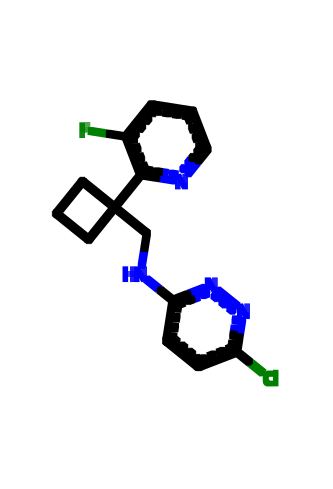 Fc1cccnc1C1(CNc2ccc(Cl)nn2)CCC1